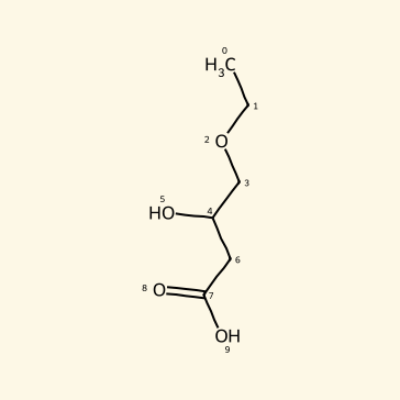 CCOCC(O)CC(=O)O